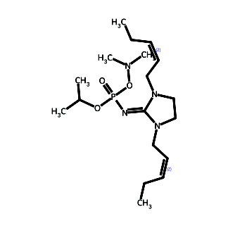 CC/C=C\CN1CCN(C/C=C\CC)C1=NP(=O)(OC(C)C)ON(C)C